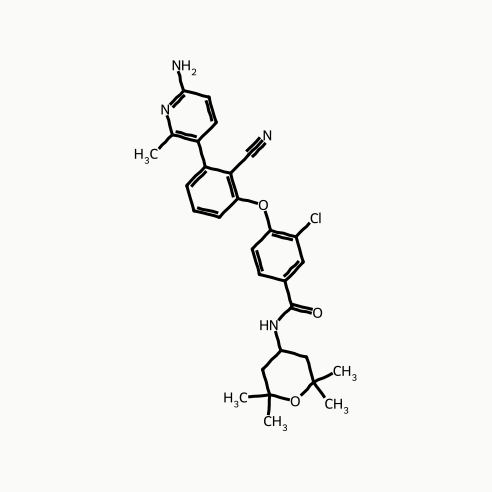 Cc1nc(N)ccc1-c1cccc(Oc2ccc(C(=O)NC3CC(C)(C)OC(C)(C)C3)cc2Cl)c1C#N